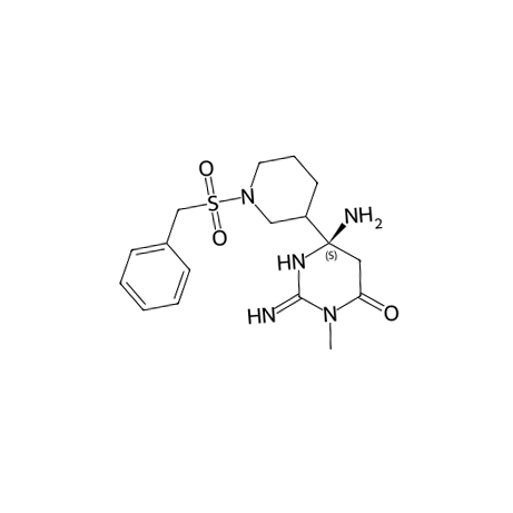 CN1C(=N)N[C@](N)(C2CCCN(S(=O)(=O)Cc3ccccc3)C2)CC1=O